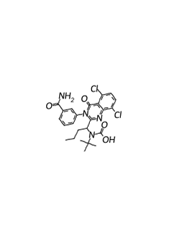 CCCC(c1nc2c(Cl)ccc(Cl)c2c(=O)n1-c1cccc(C(N)=O)c1)N(C(=O)O)C(C)(C)C